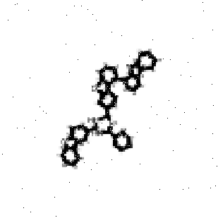 c1ccc(C2=NC(c3ccc4c(c3)oc3cccc(-c5cccc6c5sc5ccccc56)c34)NC(c3ccc4oc5ccccc5c4c3)N2)cc1